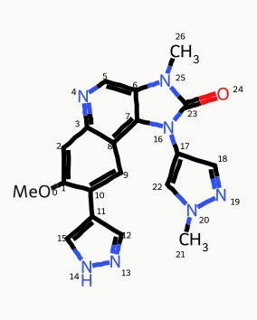 COc1cc2ncc3c(c2cc1-c1cn[nH]c1)n(-c1cnn(C)c1)c(=O)n3C